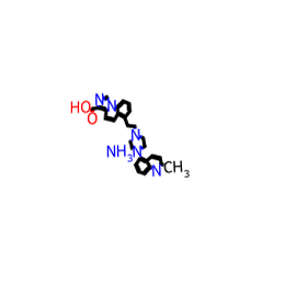 Cc1ccc2c(N3CCN(CCc4cccc5c4ccc4c(C(=O)O)ncn45)CC3)cccc2n1.N